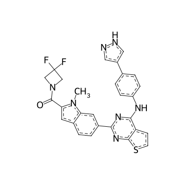 Cn1c(C(=O)N2CC(F)(F)C2)cc2ccc(-c3nc(Nc4ccc(-c5cn[nH]c5)cc4)c4ccsc4n3)cc21